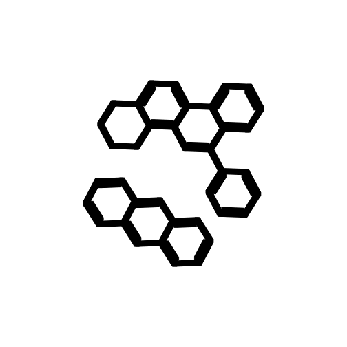 c1ccc(-c2cc3c4c(ccc3c3ccccc23)CCCC4)cc1.c1ccc2cc3ccccc3cc2c1